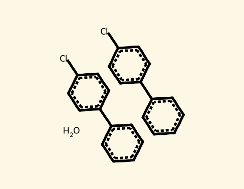 Clc1ccc(-c2ccccc2)cc1.Clc1ccc(-c2ccccc2)cc1.O